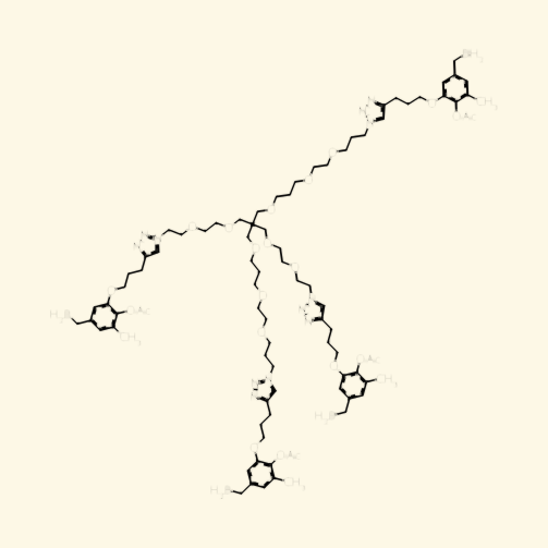 BCc1cc(C)c(OC(C)=O)c(OCCCc2cn(CCCOCCOCCCOCC(COCCCOCCOCCCn3cc(CCCOc4cc(CB)cc(C)c4OC(C)=O)nn3)(COCCOCCn3cc(CCCOc4cc(CB)cc(C)c4OC(C)=O)nn3)COCCOCCn3cc(CCCOc4cc(CB)cc(C)c4OC(C)=O)nn3)nn2)c1